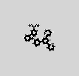 OB(O)c1ccc2c(c1)c1ccccc1n2-c1cccc(-c2cc(-c3ccccn3)cc(-c3ccccn3)c2)c1